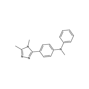 Cc1nnc(-c2ccc(N(C)c3ccccc3)cc2)n1C